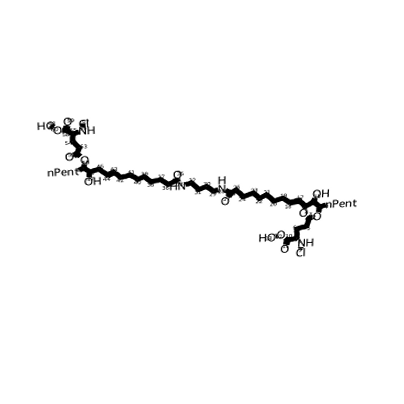 CCCCCC(OC(=O)CCC(NCl)C(=O)OO)C(O)CC=CCCCCCCCC(=O)NCCCCNC(=O)CCCCCCCC=CCC(O)C(CCCCC)OC(=O)CCC(NCl)C(=O)OO